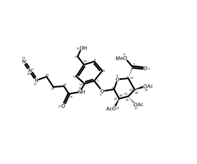 COC(=O)[C@H]1OC(Oc2ccc(CO)cc2NC(=O)CCCN=[N+]=[N-])[C@H](OC(C)=O)[C@@H](OC(C)=O)[C@@H]1OC(C)=O